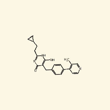 Cc1cnccc1-c1ccc(Cc2c(O)[nH]c(CCC3CC3)nc2=O)cc1